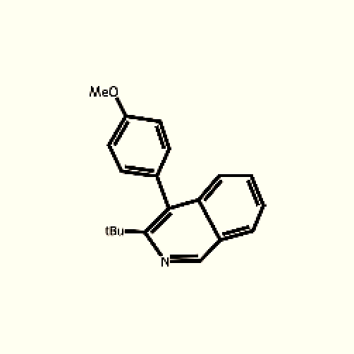 COc1ccc(-c2c(C(C)(C)C)ncc3ccccc23)cc1